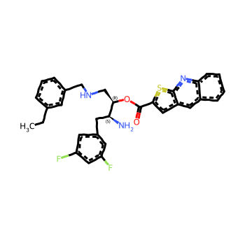 CCc1cccc(CNC[C@@H](OC(=O)c2cc3cc4ccccc4nc3s2)[C@@H](N)Cc2cc(F)cc(F)c2)c1